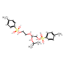 Cc1ccc(S(=O)(=O)OCCO[C@@H](COS(=O)(=O)c2ccc(C)cc2)OC(C)C)cc1